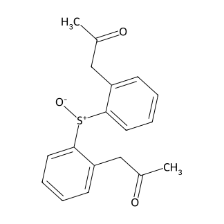 CC(=O)Cc1ccccc1[S+]([O-])c1ccccc1CC(C)=O